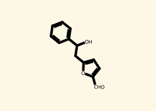 O=Cc1ccc(CC(O)c2ccccc2)o1